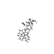 CC(C)(C)N(C(=O)O)C1(COc2cccc(NS(N)(=O)=O)c2C#N)CCCC1